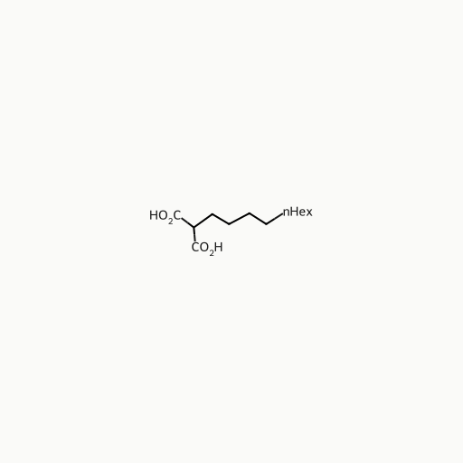 CCCCCCCCCCC(C(=O)O)C(=O)O